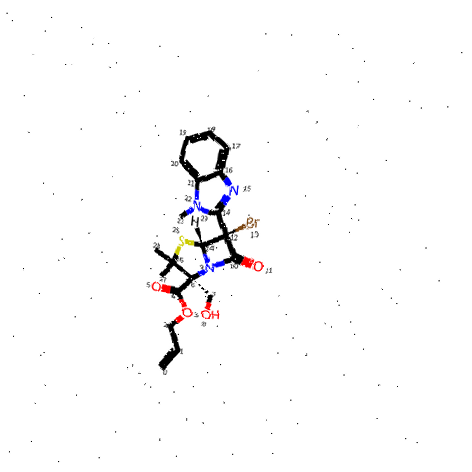 C=CCOC(=O)[C@]1(CO)N2C(=O)[C@@](Br)(c3nc4ccccc4n3C)[C@H]2SC1(C)C